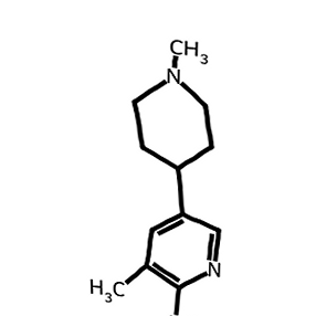 Cc1cc(C2CCN(C)CC2)cnc1N